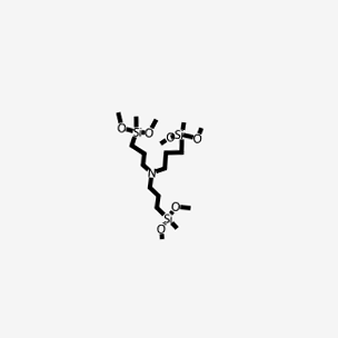 CO[Si](C)(CCCN(CCC[Si](C)(OC)OC)CCC[Si](C)(OC)OC)OC